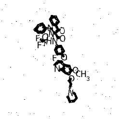 COc1cc2c(Oc3ccc(NC(=O)c4nn(-c5ccccc5OC(F)(F)F)c5ccccc5c4=O)cc3F)ccnc2cc1OCCCN1CCCCC1